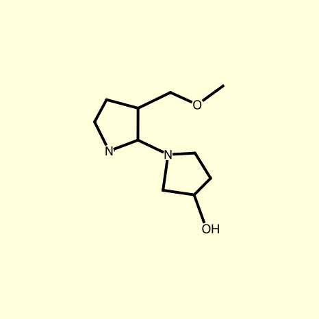 COCC1CC[N]C1N1CCC(O)C1